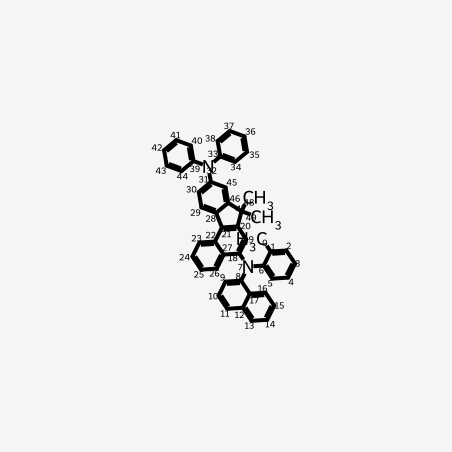 Cc1ccccc1N(c1cccc2ccccc12)c1cc2c(c3ccccc13)-c1ccc(N(c3ccccc3)c3ccccc3)cc1C2(C)C